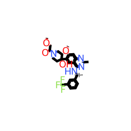 COCC(=O)N1CCC(O)(c2cc3c(N[C@H](C)c4cccc(C(F)(F)F)c4)nc(C)nc3cc2OC)CC1